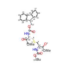 COC(=O)[C@H](CSC[C@@H](NC(=O)OCC1c2ccccc2-c2ccccc21)C(=O)OC)NC(=O)OC(C)(C)C